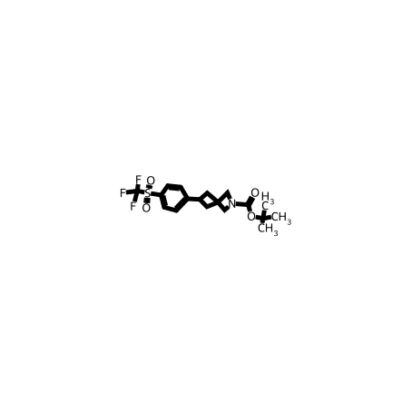 CC(C)(C)OC(=O)N1CC2(CC(c3ccc(S(=O)(=O)C(F)(F)F)cc3)C2)C1